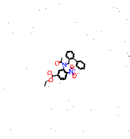 CCOC(=O)c1ccc([N+](=O)[O-])c(N(Cc2ccccc2-c2ccccc2)C(C)=O)c1